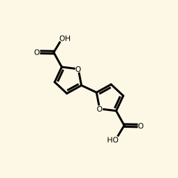 O=C(O)c1ccc(-c2ccc(C(=O)O)o2)o1